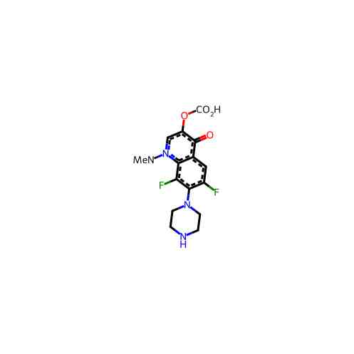 CNn1cc(OC(=O)O)c(=O)c2cc(F)c(N3CCNCC3)c(F)c21